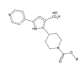 CC(C)(C)OC(=O)N1CCC(c2[nH]c(-c3ccncc3)cc2C(=O)O)CC1.Cl